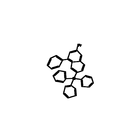 CC(C)c1cc(-c2ccccc2)c2cc([Si](c3ccccc3)(c3ccccc3)c3ccccc3)ccc2c1